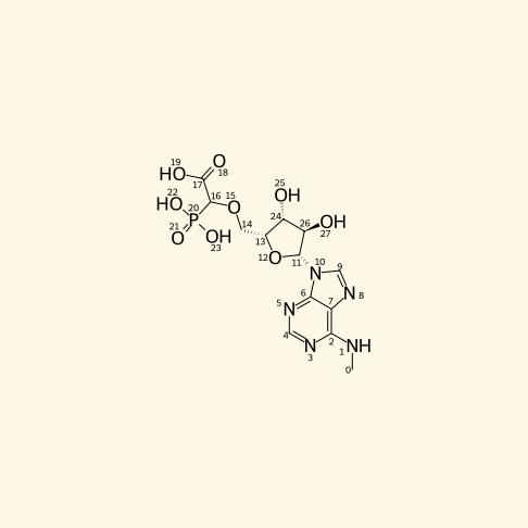 CNc1ncnc2c1ncn2[C@@H]1O[C@H](COC(C(=O)O)P(=O)(O)O)[C@H](O)[C@H]1O